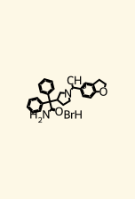 Br.CC(c1ccc2c(c1)CCO2)N1CCC(C(C(N)=O)(c2ccccc2)c2ccccc2)C1